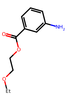 CCOCCOC(=O)c1cccc(N)c1